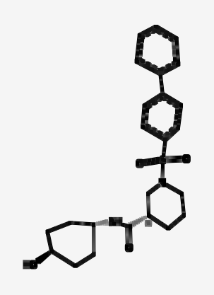 O=C(N[C@H]1CC[C@H](O)CC1)[C@H]1CCCN(S(=O)(=O)c2ccc(-c3ccccc3)cc2)C1